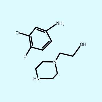 Nc1ccc(F)c(Cl)c1.OCCN1CCNCC1